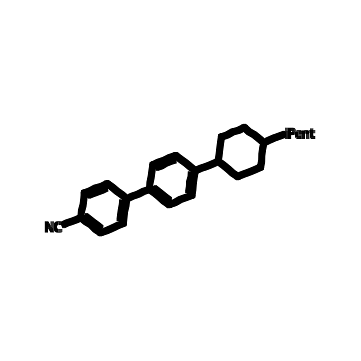 CCCC(C)C1CCC(c2ccc(-c3ccc(C#N)cc3)cc2)CC1